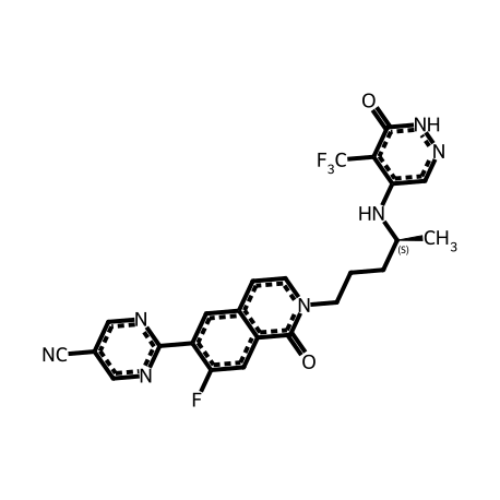 C[C@@H](CCCn1ccc2cc(-c3ncc(C#N)cn3)c(F)cc2c1=O)Nc1cn[nH]c(=O)c1C(F)(F)F